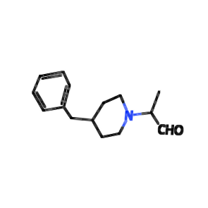 CC(C=O)N1CCC(Cc2ccccc2)CC1